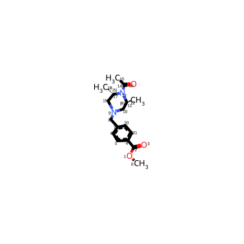 COC(=O)c1ccc(CN2C[C@@H](C)N(C(C)=O)[C@@H](C)C2)cc1